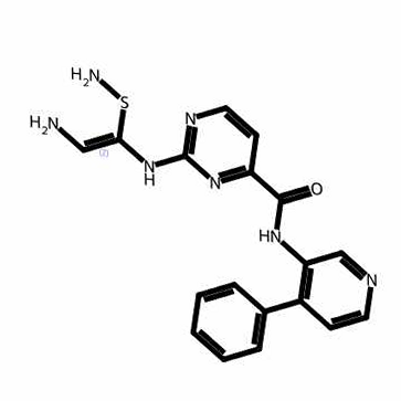 N/C=C(/Nc1nccc(C(=O)Nc2cnccc2-c2ccccc2)n1)SN